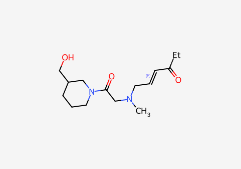 CCC(=O)/C=C/CN(C)CC(=O)N1CCCC(CO)C1